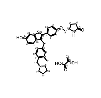 Cc1cc(Cc2c(-c3ccc(OC[C@@H]4CCC(=O)N4)cc3)sc3cc(O)ccc23)ccc1CN1CCCC1.O=C(O)C(=O)O